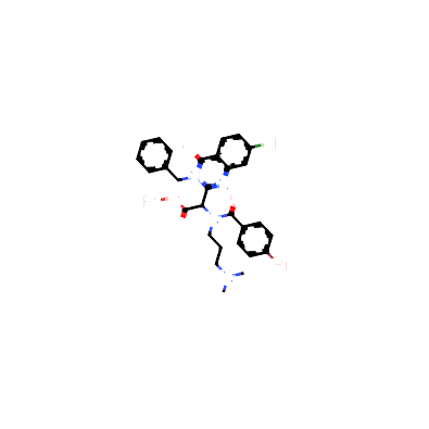 CC(C)OC(=O)C(c1nc2cc(Cl)ccc2c(=O)n1Cc1ccccc1)N(CCCN(C)C)C(=O)c1ccc(Br)cc1